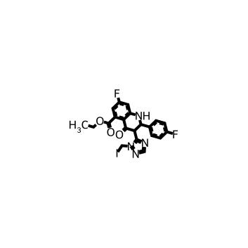 CCOC(=O)c1cc(F)cc2c1C(=O)C(c1ncnn1CI)C(c1ccc(F)cc1)N2